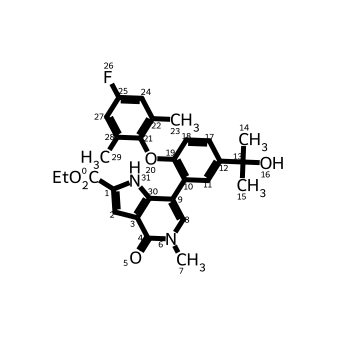 CCOC(=O)c1cc2c(=O)n(C)cc(-c3cc(C(C)(C)O)ccc3Oc3c(C)cc(F)cc3C)c2[nH]1